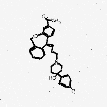 NC(=O)c1ccc2c(c1)OCc1ccccc1C2=CCCN1CCC(O)(c2ccc(Cl)cc2)CC1